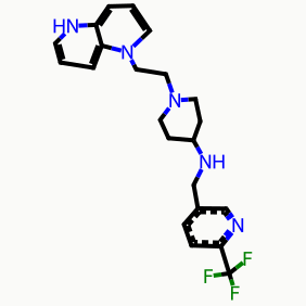 FC(F)(F)c1ccc(CNC2CCN(CCN3C=CC=C4NC=CC=C43)CC2)cn1